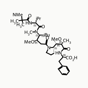 CC[C@H](C)[C@@H]([C@@H](CC(=O)N1CCC[C@H]1[C@H](OC)[C@@H](C)C(=O)N[C@H](Cc1ccccc1)C(=O)O)OC)N(C)C(=O)[C@@H](NC(=O)C(C)(C)NC)C(C)C